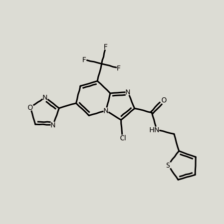 O=C(NCc1cccs1)c1nc2c(C(F)(F)F)cc(-c3ncon3)cn2c1Cl